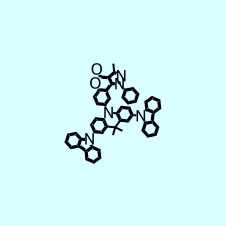 Cc1nn(-c2ccccc2)c2c1c(=O)oc1ccc(N3c4ccc(-n5c6ccccc6c6ccccc65)cc4C(C)(C)c4cc(-n5c6ccccc6c6ccccc65)ccc43)cc12